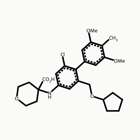 COc1cc(-c2c(Cl)cc(NC3(C(=O)O)CCOCC3)cc2COC2CCCC2)cc(OC)c1C